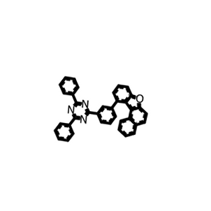 c1ccc(-c2nc(-c3ccccc3)nc(-c3cccc(-c4cccc5oc6ccc7ccccc7c6c45)c3)n2)cc1